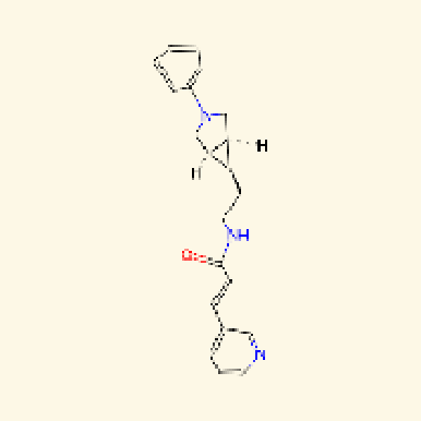 O=C(/C=C/c1cccnc1)NCC[C@H]1[C@H]2CN(c3ccccc3)C[C@@H]12